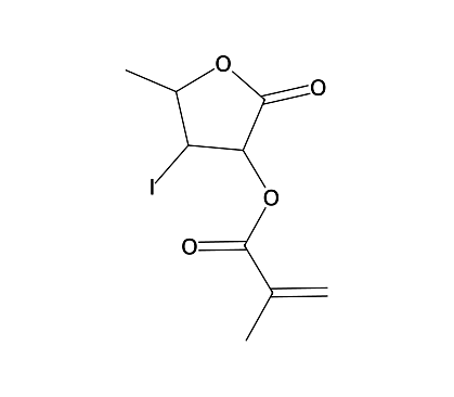 C=C(C)C(=O)OC1C(=O)OC(C)C1I